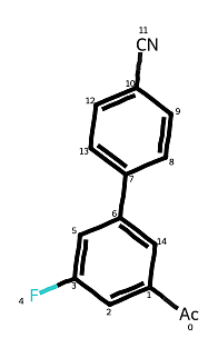 CC(=O)c1cc(F)cc(-c2ccc(C#N)cc2)c1